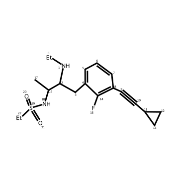 CCNC(Cc1cccc(C#CC2CC2)c1F)C(C)NS(=O)(=O)CC